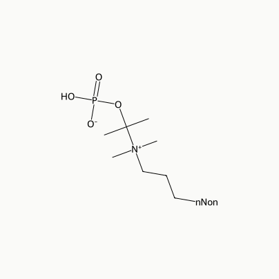 CCCCCCCCCCCC[N+](C)(C)C(C)(C)OP(=O)([O-])O